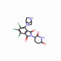 O=C1CCC(N2C(=O)c3c(F)c(F)c(F)c(N4CC5CC4CN5)c3C2=O)C(=O)N1